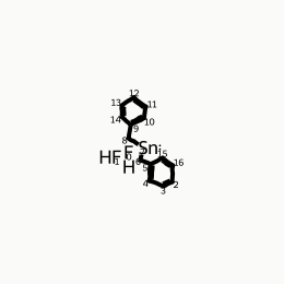 F.F.c1ccc([CH2][Sn][CH2]c2ccccc2)cc1